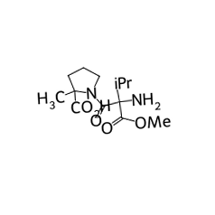 COC(=O)C(N)(C(=O)N1CCCC1(C)C(=O)O)C(C)C